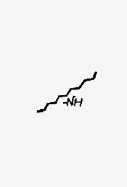 CCCCCCCCCCC.CNC